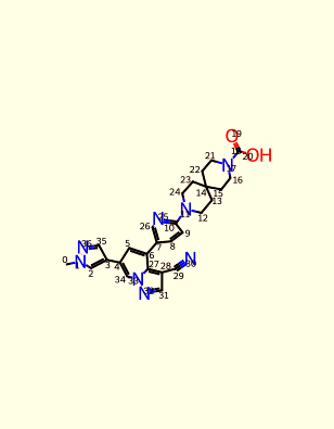 Cn1cc(-c2cc(-c3ccc(N4CCC5(CCN(C(=O)O)CC5)CC4)nc3)c3c(C#N)cnn3c2)cn1